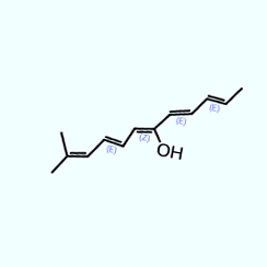 C/C=C/C=C/C(O)=C/C=C/C=C(C)C